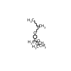 CCCCCN(C)CCCO[C@H]1CC[C@H](N(C)C(=O)OC(C)(C)C)CC1